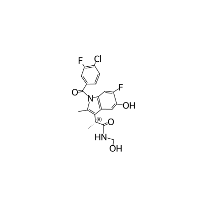 Cc1c([C@@H](C)C(=O)NCO)c2cc(O)c(F)cc2n1C(=O)c1ccc(Cl)c(F)c1